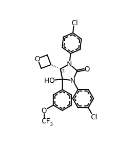 O=C1N(c2ccc(Cl)cc2)[C@@H](C2COC2)C(O)(c2cccc(OC(F)(F)F)c2)N1c1ccc(Cl)cc1